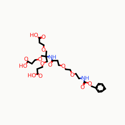 O=C(O)CCOCC(COCCC(=O)O)(COCCC(=O)O)NC(=O)CCOCCOCCNC(=O)OCc1ccccc1